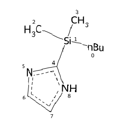 CCCC[Si](C)(C)c1ncc[nH]1